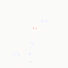 NC(=O)[C@H](Cc1ccccc1)NC(=O)[C@H](Cc1ccccc1)NC(=O)CP(=O)(O)C(Cc1ccccc1)NC(=O)c1cccc(F)c1